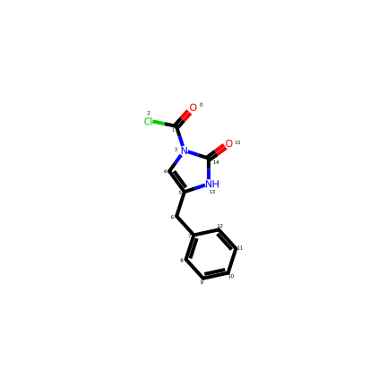 O=C(Cl)n1cc(Cc2ccccc2)[nH]c1=O